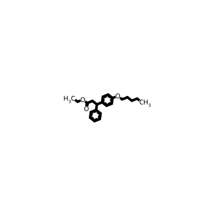 CCCCCOc1ccc(C(CC(=O)OCC)c2ccccc2)cc1